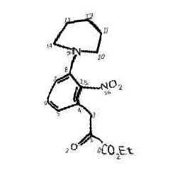 CCOC(=O)C(=O)Cc1cccc(N2CCCCC2)c1[N+](=O)[O-]